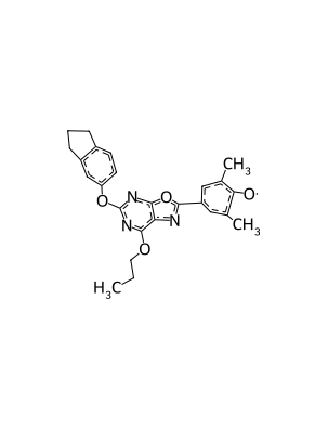 CCCOc1nc(Oc2ccc3c(c2)CCC3)nc2oc(-c3cc(C)c([O])c(C)c3)nc12